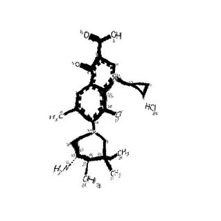 Cc1cc2c(=O)c(C(=O)O)cn(C3CC3)c2c(Cl)c1N1C[C@@H](N)[C@H](C)C(C)(C)C1.Cl